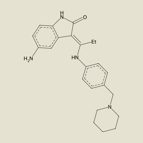 CCC(Nc1ccc(CN2CCCCC2)cc1)=C1C(=O)Nc2ccc(N)cc21